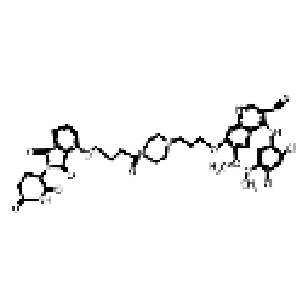 COc1cc(Nc2c(C#N)cnc3cc(OCCCN4CCN(C(=O)CCCOc5cccc6c5C(=O)N(C5CCC(=O)NC5=O)C6=O)CC4)c(OC)cc23)c(Cl)cc1Cl